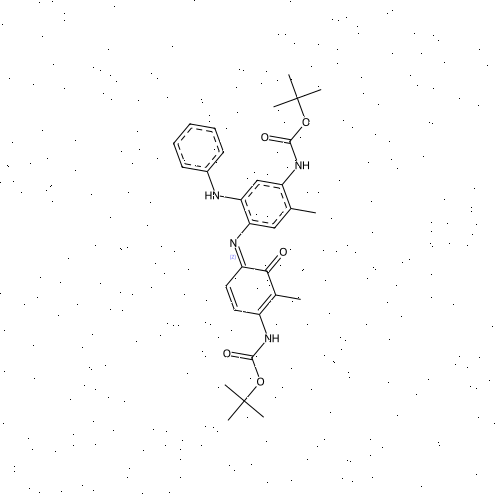 CC1=C(NC(=O)OC(C)(C)C)C=C/C(=N/c2cc(C)c(NC(=O)OC(C)(C)C)cc2Nc2ccccc2)C1=O